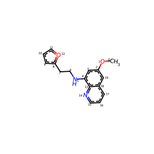 COc1cc(NCCc2ccco2)c2ncccc2c1